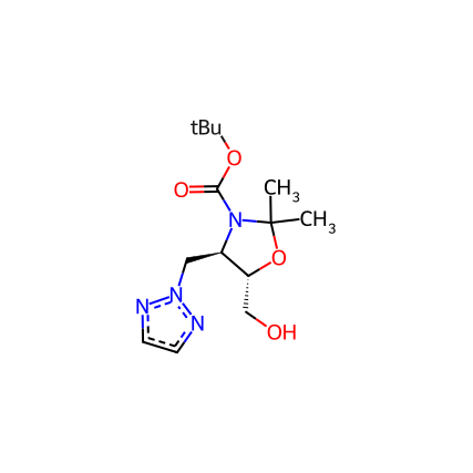 CC(C)(C)OC(=O)N1[C@H](Cn2nccn2)[C@@H](CO)OC1(C)C